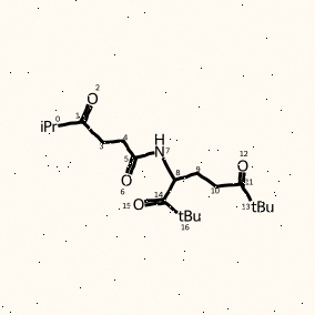 CC(C)C(=O)CCC(=O)NC(CCC(=O)C(C)(C)C)C(=O)C(C)(C)C